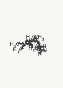 CCCCN(CCCC)c1ccc(C=CC2=CC(=CC=CC3=C(C#N)C(=C(C#N)C#N)OC3(C)C)CC(C)(C)C2)c(OC)c1